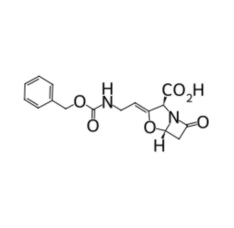 O=C(NCC=C1O[C@H]2CC(=O)N2[C@@H]1C(=O)O)OCc1ccccc1